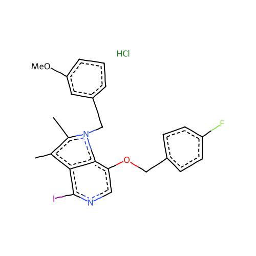 COc1cccc(Cn2c(C)c(C)c3c(I)ncc(OCc4ccc(F)cc4)c32)c1.Cl